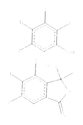 O=C1OC(I)(S(=O)(=O)O)c2c1cc(I)c(I)c2I.Oc1cc(I)c(I)c(I)c1I